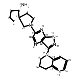 N[C@H]1CCC[C@@]12CCN(c1cnc3c(N4CCCc5ncccc54)n[nH]c3n1)C2